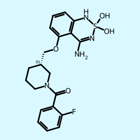 NC1=NS(O)(O)Nc2cccc(OC[C@H]3CCCN(C(=O)c4ccccc4F)C3)c21